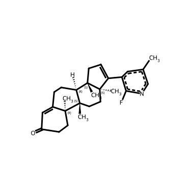 Cc1cnc(F)c(C2=CC[C@@]3(C)[C@@H]4CCC5=CC(=O)CC[C@]5(C)[C@@]4(C)CC[C@]23C)c1